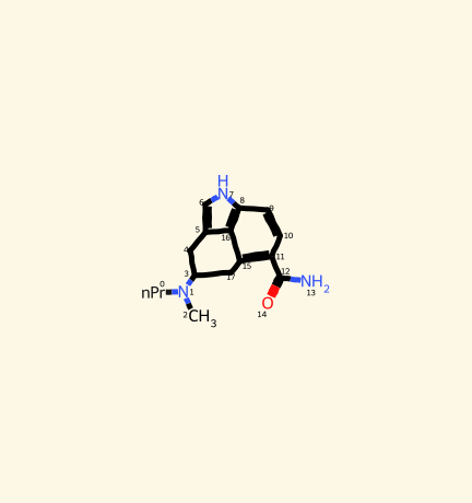 CCCN(C)C1Cc2c[nH]c3ccc(C(N)=O)c(c23)C1